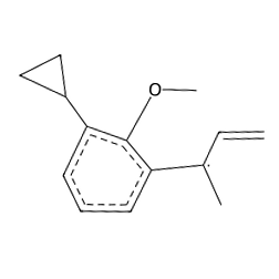 C=C[C](C)c1cccc(C2CC2)c1OC